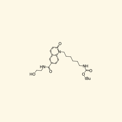 CC(C)(C)OC(=O)NCCCCCCn1c(=O)ccc2cc(C(=O)NCCO)ccc21